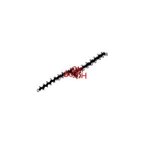 CCCCCCCCCCCCCCOCC(CO)OC(CO)COCCCCCCCCCCCCCC